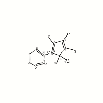 [Li][C]1(C)C(C)=C(C)[C](C)=[Ge]1[c]1ccccc1